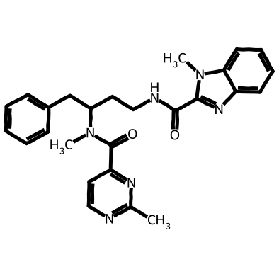 Cc1nccc(C(=O)N(C)C(CCNC(=O)c2nc3ccccc3n2C)Cc2ccccc2)n1